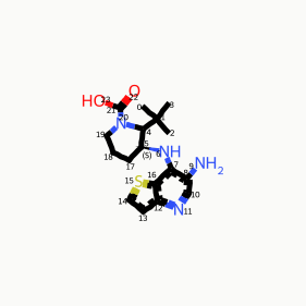 CC(C)(C)C1[C@@H](Nc2c(N)cnc3ccsc23)CCCN1C(=O)O